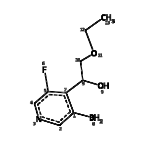 Bc1cncc(F)c1C(O)COCC